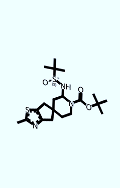 Cc1nc2c(s1)CC1(CCN(C(=O)OC(C)(C)C)C(N[S@+]([O-])C(C)(C)C)C1)C2